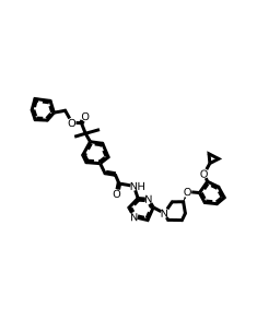 CC(C)(C(=O)OCc1ccccc1)c1ccc(/C=C/C(=O)Nc2cncc(N3CCC[C@@H](Oc4ccccc4OC4CC4)C3)n2)cc1